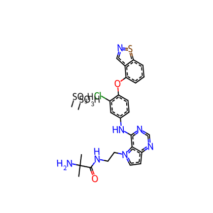 CC(C)(N)C(=O)NCCn1ccc2ncnc(Nc3ccc(Oc4cccc5sncc45)c(Cl)c3)c21.CS(=O)(=O)O.CS(=O)(=O)O